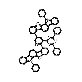 c1ccc(-c2nc(-c3ccccc3)nc(-c3cc(-c4cccc5oc6c(ccc7c8ccccc8n(-c8ccccc8)c76)c45)cnc3-c3cccc4oc5c(ccc6c7ccccc7n(-c7ccccc7)c65)c34)n2)cc1